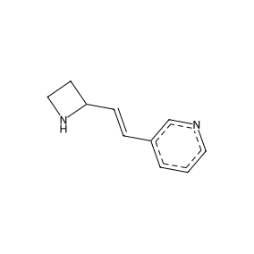 C(=C\C1CCN1)/c1cccnc1